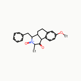 CCOc1ccc2c(c1)CCC1C2C(=O)C(CC)[N+](=O)C1Cc1ccccc1